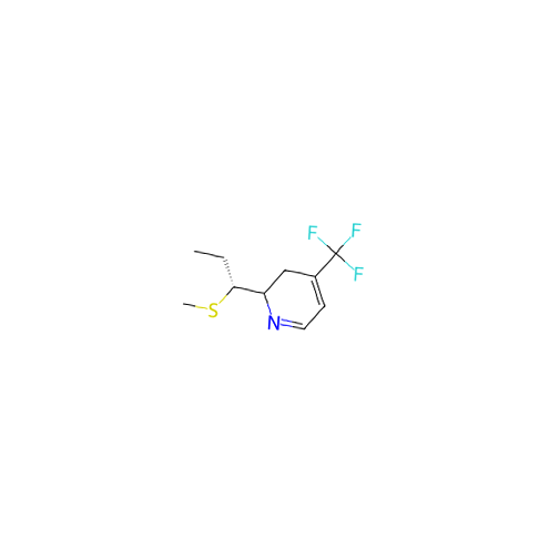 CC[C@@H](SC)C1CC(C(F)(F)F)=CC=N1